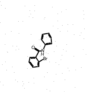 O=C(Nc1ccccc1)c1ccccc1Br